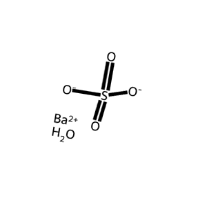 O.O=S(=O)([O-])[O-].[Ba+2]